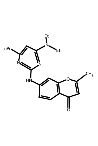 CCCc1cc(N(CC)CC)nc(Nc2ccc3c(=O)cc(C)oc3c2)n1